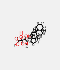 COC(=O)C(O)(O)C(O)C(C)[C@H]1CC[C@H]2[C@@H]3CC[C@@H]4CCCC[C@]4(C)[C@H]3CC[C@]12C